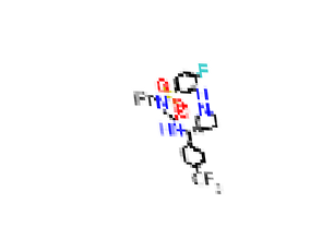 CC(C)N(CC(=O)NC(c1ccc(C(F)(F)F)cc1)[C@H]1CCCNC1)S(=O)(=O)c1ccc(F)cc1